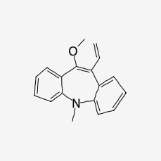 C=CC1=C(OC)c2ccccc2N(C)c2ccccc21